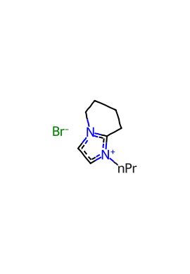 CCC[n+]1ccn2c1CCCC2.[Br-]